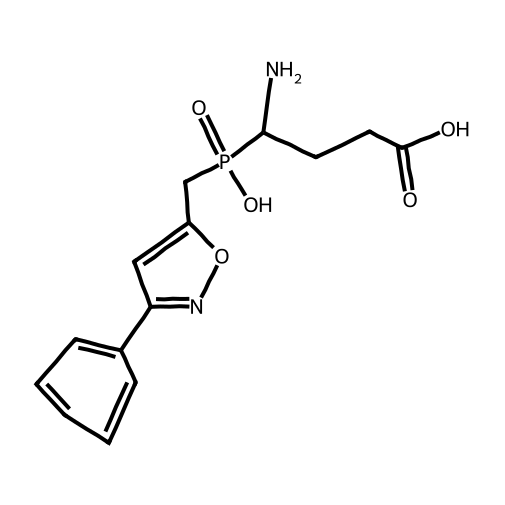 NC(CCC(=O)O)P(=O)(O)Cc1cc(-c2ccccc2)no1